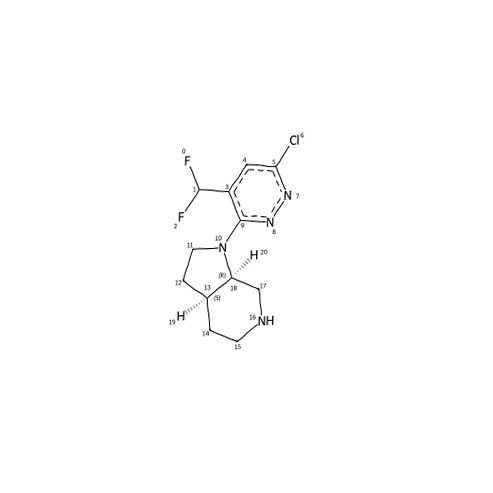 FC(F)c1cc(Cl)nnc1N1CC[C@@H]2CCNC[C@@H]21